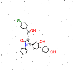 O=C1[C@H](CC[C@H](O)c2ccc(Cl)cc2)[C@@H](c2ccc(-c3ccc(O)cc3)c(O)c2)N1c1ccccc1